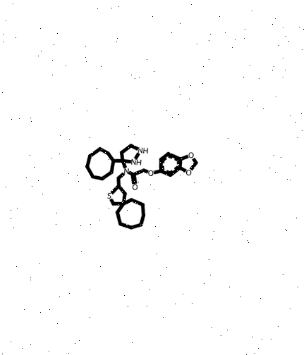 O=C(COc1ccc2c(c1)OCO2)N(CC1CC2(CCCCCCC2)CS1)C1(C2CCCCCCC2)CCNN1